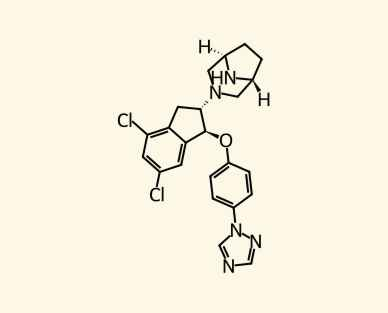 Clc1cc(Cl)c2c(c1)[C@H](Oc1ccc(-n3cncn3)cc1)[C@@H](N1C[C@H]3CC[C@H](C1)N3)C2